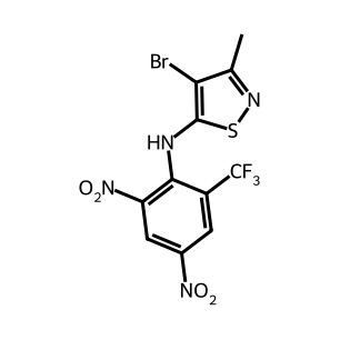 Cc1nsc(Nc2c([N+](=O)[O-])cc([N+](=O)[O-])cc2C(F)(F)F)c1Br